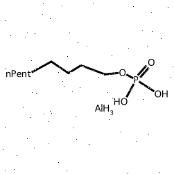 CCCCCCCCCOP(=O)(O)O.[AlH3]